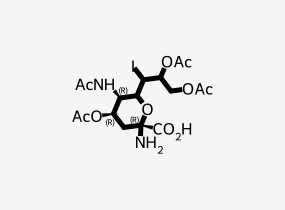 CC(=O)N[C@H]1C(C(I)C(COC(C)=O)OC(C)=O)O[C@@](N)(C(=O)O)C[C@H]1OC(C)=O